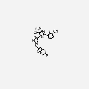 Cc1c(C#N)cccc1-c1nc(N)c(Cl)c(-c2cn(Cc3cc4n(n3)CC(F)C4)nn2)n1